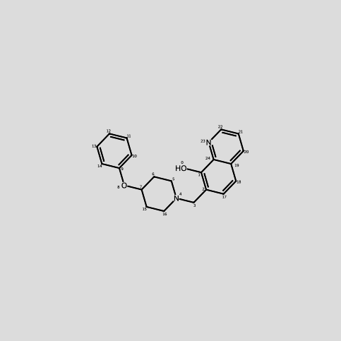 Oc1c(CN2CCC(Oc3ccccc3)CC2)ccc2cccnc12